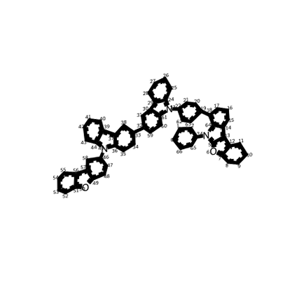 c1ccc(-n2c3oc4ccccc4c3c3cccc(-c4ccc(-n5c6ccccc6c6cc(-c7ccc8c(c7)c7ccccc7n8-c7ccc8oc9ccccc9c8c7)ccc65)cc4)c32)cc1